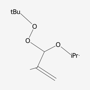 C=C(C)C(OOC(C)(C)C)O[C](C)C